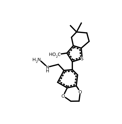 CC1(C)CCc2sc(-c3cc4c(cc3CNN)OCCO4)c(C(=O)O)c2C1